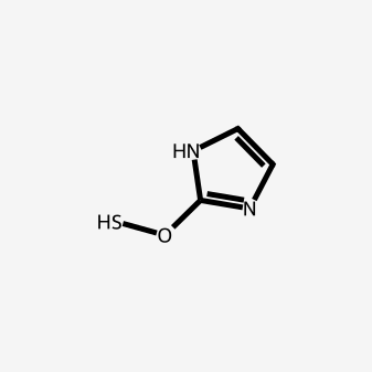 SOc1ncc[nH]1